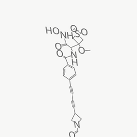 COC1(C(NC(=O)c2ccc(C#CC#CC3CN(C=O)C3)cc2)C(=O)NO)CS(=O)(=O)C1